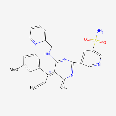 C=C/C(c1cccc(OC)c1)=c1/c(NCc2ccccn2)nc(-c2cncc(S(N)(=O)=O)c2)nc1=C